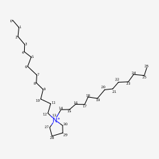 CCCCCCCCCCCCC[N+]1(CCCCCCCCCCCCC)CCCC1